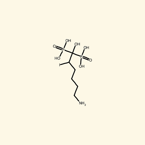 NCCCCC(I)C(O)(P(=O)(O)O)P(=O)(O)O